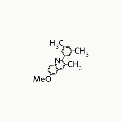 COc1ccc2nc(-c3cc(C)cc(C)c3)c(C)cc2c1